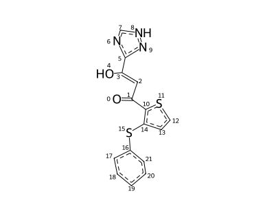 O=C(C=C(O)c1nc[nH]n1)c1sccc1Sc1ccccc1